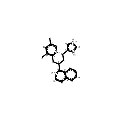 Cc1cnc(C[C](CCc2c[nH]cn2)c2nccc3ccccc23)c(C)c1